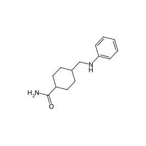 NC(=O)C1CCC(CNc2ccccc2)CC1